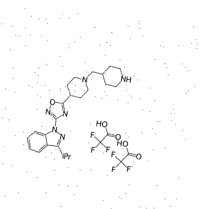 CC(C)c1nn(-c2noc(C3CCN(CC4CCNCC4)CC3)n2)c2ccccc12.O=C(O)C(F)(F)F.O=C(O)C(F)(F)F